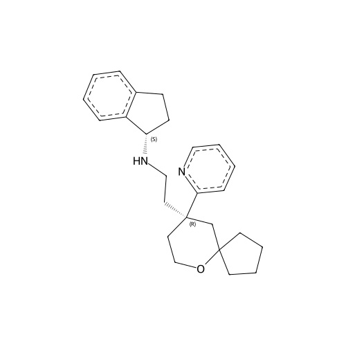 c1ccc([C@]2(CCN[C@H]3CCc4ccccc43)CCOC3(CCCC3)C2)nc1